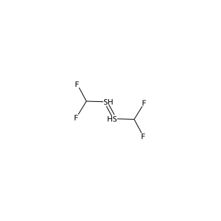 FC(F)[SH]=[SH]C(F)F